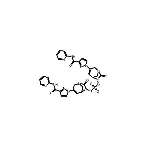 O=C(Nc1ccccn1)c1ccn(C2=CC3CN(C2)C(=O)N3OS(=O)(=O)ON2C(=O)N3CC(n4ccc(C(=O)Nc5ccccn5)n4)=CC2C3)n1